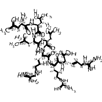 CC(C)C[C@H](NC(=O)[C@H](CC(C)C)NC(=O)[C@H](CC(C)C)NC(=O)[C@@H](N)CC(C)C)C(=O)N[C@@H](CCCNC(=N)N)C(=O)N[C@@H](CCCNC(=N)N)C(=O)N[C@@H](CCCNC(=N)N)C(=O)O